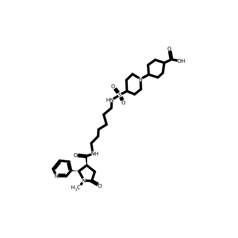 CN1C(=O)C[C@H](C(=O)NCCCCCCNS(=O)(=O)C2CCN(C3CCC(C(=O)O)CC3)CC2)[C@H]1c1cccnc1